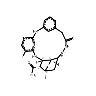 NC(=O)[C@H]1[C@@H]2CC3NNC(=O)Cc4cccc(c4)Nc4ncc(F)c(n4)N[C@@H]1[C@@H]3C2